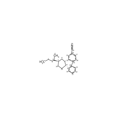 CCCC(C)[C@H]1CC[C@H](c2ccccc2-c2ccc(C#N)cc2)CC1